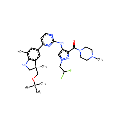 CN1CCN(C(=O)c2nn(CC(F)F)cc2Nc2nccc(-c3cc(C#N)c4c(c3)[C@@](C)(CO[Si](C)(C)C(C)(C)C)CN4)n2)CC1